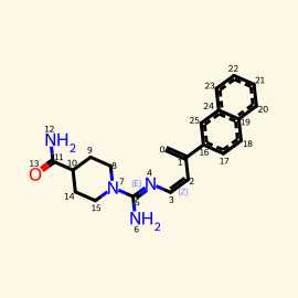 C=C(/C=C\N=C(/N)N1CCC(C(N)=O)CC1)c1ccc2ccccc2c1